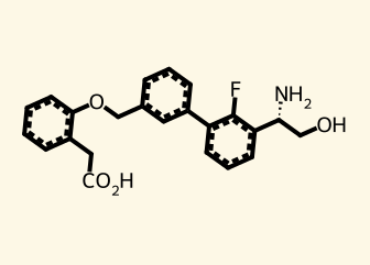 N[C@H](CO)c1cccc(-c2cccc(COc3ccccc3CC(=O)O)c2)c1F